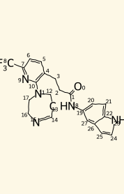 O=C(CCc1ccc(C(F)(F)F)nc1N1CCC=NCC1)Nc1ccc2[nH]ccc2c1